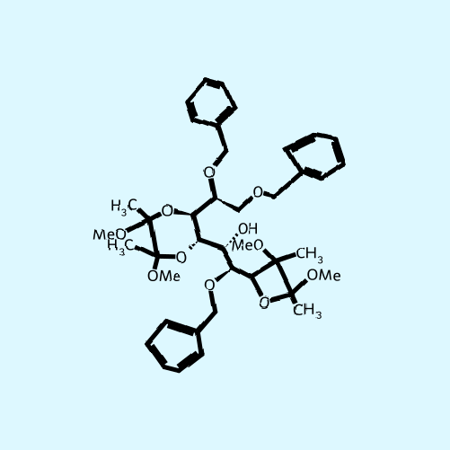 COC1(C)O[C@@H]([C@H](COCc2ccccc2)OCc2ccccc2)[C@H]([C@H](O)[C@H](OCc2ccccc2)C2OC(C)(OC)C2(C)OC)OC1(C)OC